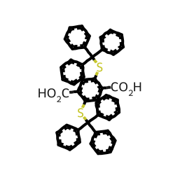 O=C(O)c1cc(SC(c2ccccc2)(c2ccccc2)c2ccccc2)c(C(=O)O)cc1SC(c1ccccc1)(c1ccccc1)c1ccccc1